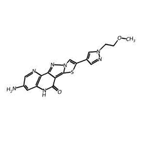 COCCn1cc(-c2cn3nc4c5ncc(N)cc5[nH]c(=O)c4c3s2)cn1